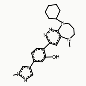 CN1CCCN(C2CCCCC2)c2nnc(-c3ccc(-c4cnn(C)c4)cc3O)cc21